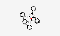 c1ccc(-c2nc(-c3ccccc3)nc(-n3c4ccccc4c4ccc5c6ccccc6n(-c6ccccn6)c5c43)n2)cc1